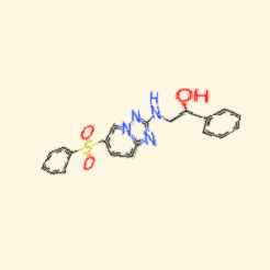 O=S(=O)(c1ccccc1)c1ccc2nc(NC[C@@H](O)c3ccccc3)nn2c1